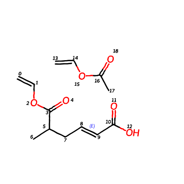 C=COC(=O)C(C)C/C=C/C(=O)O.C=COC(C)=O